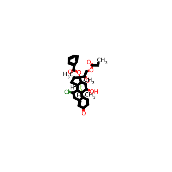 CCC(=O)OCC(=O)[C@@]1(OC(=O)c2ccccc2)C(C)C[C@H]2[C@@H]3C(Cl)CC4=CC(=O)C=C[C@]4(C)[C@@]3(F)C(O)C[C@@]21C